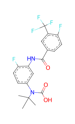 CC(C)(C)N(C(=O)O)c1ccc(F)c(NC(=O)c2ccc(F)c(C(F)(F)F)c2)c1